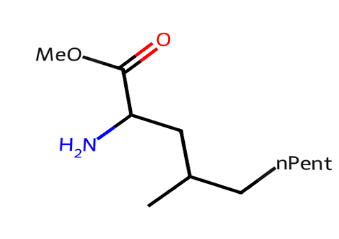 CCCCCCC(C)CC(N)C(=O)OC